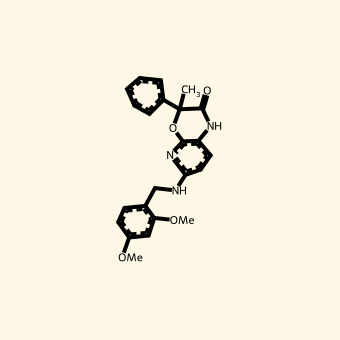 COc1ccc(CNc2ccc3c(n2)OC(C)(c2ccccc2)C(=O)N3)c(OC)c1